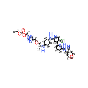 CCOC(=O)O[C@@H](C)n1nnc(COC[C@@H](C)NC2CCC(Nc3cc(-c4cccc(NCC5(C#N)CCOCC5)n4)c(Cl)cn3)CC2)n1